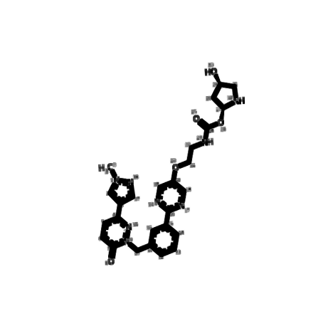 Cn1cc(-c2ccc(=O)n(Cc3cccc(-c4ncc(OCCNC(=O)O[C@H]5C[C@@H](O)CN5)cn4)c3)n2)cn1